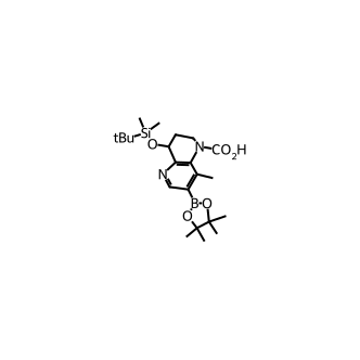 Cc1c(B2OC(C)(C)C(C)(C)O2)cnc2c1N(C(=O)O)CCC2O[Si](C)(C)C(C)(C)C